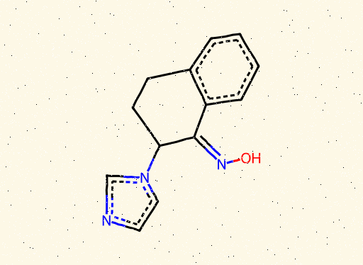 O/N=C1\c2ccccc2CCC1n1ccnc1